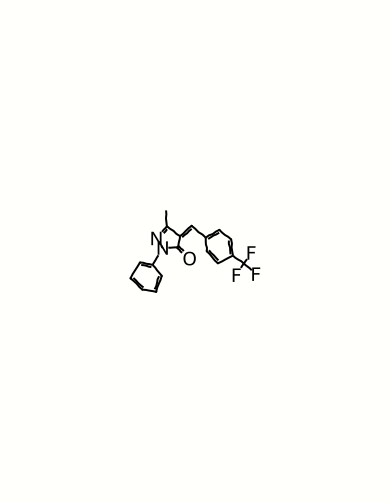 CC1=NN(c2ccccc2)C(=O)C1=Cc1ccc(C(F)(F)F)cc1